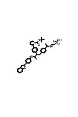 CC(C)(C)OC(=O)n1cccc1-c1ccc(C(Cc2ccc(C(=O)NCCS(=O)(=O)O)cc2)C(=O)Nc2ccc(-c3cc4ccccc4o3)cc2)cc1